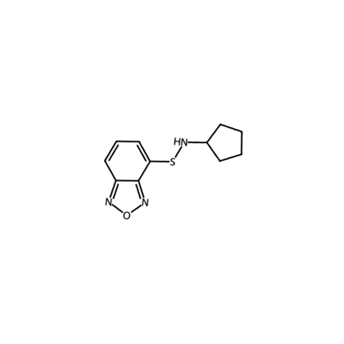 c1cc(SNC2CCCC2)c2nonc2c1